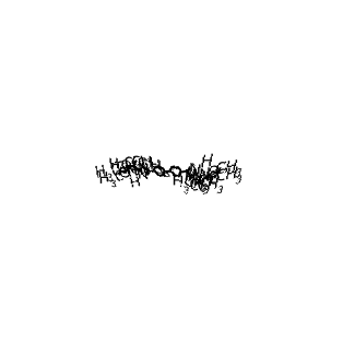 CC(C)[C@H](NC(=O)OC(C)(C)C)c1ncc(-c2ccc(-c3ccc(-c4cnc([C@@H](NC(=O)OC(C)(C)C)C(C)C)n4C)cc3)cc2)n1C